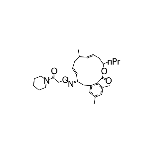 CCCC1C/C=C/C(C)C/C=C/C(=N\OCC(=O)N2CCCCC2)Cc2cc(C)cc(C)c2C(=O)O1